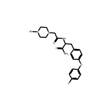 CC(C)N1CCN(CC(=O)NC(Cc2ccc(Oc3ccc(F)cc3)cc2)C(N)=O)CC1